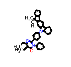 C/C=c1/nc(-c2ccc(-n3c4ccccc4c4cc5c(cc43)C(C)(C)c3ccccc3-5)cc2)n(-c2ccccc2)c(=O)/c1=C/C